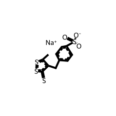 Cc1ssc(=S)c1Cc1ccc(S(=O)(=O)[O-])cc1.[Na+]